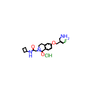 Cl.NC/C(=C\F)COc1ccc2c(c1)CCN(CC(=O)NC1CCC1)C2=O